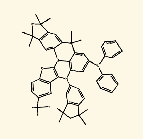 CC(C)(C)c1ccc2sc3c(c2c1)N(c1ccc2c(c1)C(C)(C)CC2(C)C)c1cc(N(c2ccccc2)c2ccccc2)cc2c1B3c1cc3c(cc1C2(C)C)C(C)(C)CC3(C)C